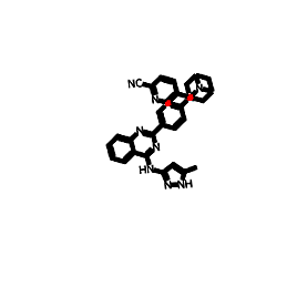 Cc1cc(Nc2nc(-c3ccc(N4CC5CC(C4)N5Cc4ccc(C#N)nc4)nc3)nc3ccccc23)n[nH]1